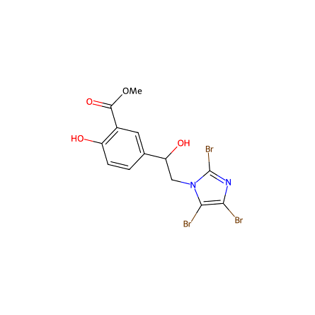 COC(=O)c1cc(C(O)Cn2c(Br)nc(Br)c2Br)ccc1O